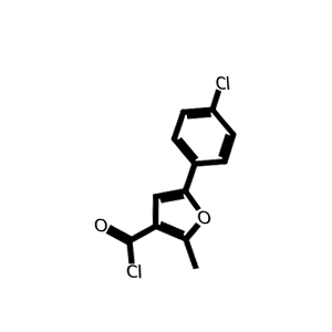 Cc1oc(-c2ccc(Cl)cc2)cc1C(=O)Cl